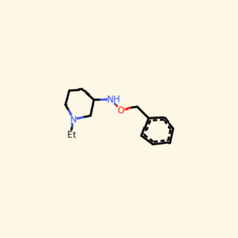 CCN1CCCC(NOCc2ccccc2)C1